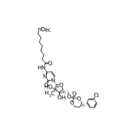 CCCCCCCCCCCCCCCCCC(=O)Nc1ccn([C@@H]2O[C@H](COP3(=O)OCC[C@@H](c4cccc(Cl)c4)O3)[C@@H](O)[C@@]2(C)O)c(=O)n1